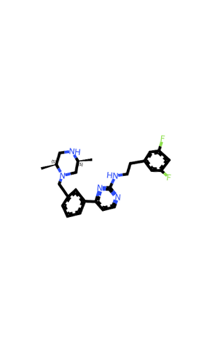 C[C@H]1CN(Cc2cccc(-c3ccnc(NCCc4cc(F)cc(F)c4)n3)c2)[C@@H](C)CN1